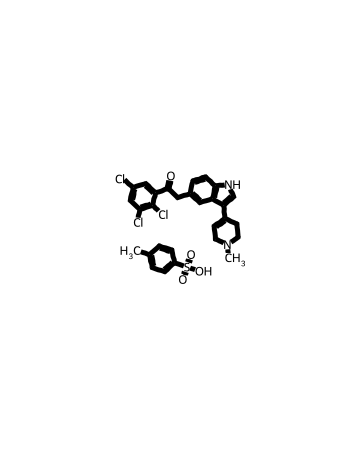 CN1CC=C(c2c[nH]c3ccc(CC(=O)c4cc(Cl)cc(Cl)c4Cl)cc23)CC1.Cc1ccc(S(=O)(=O)O)cc1